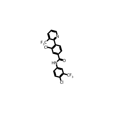 O=C(Nc1ccc(Cl)c(C(F)(F)F)c1)c1ccc(-c2ncccc2C(F)(F)F)c(Cl)c1